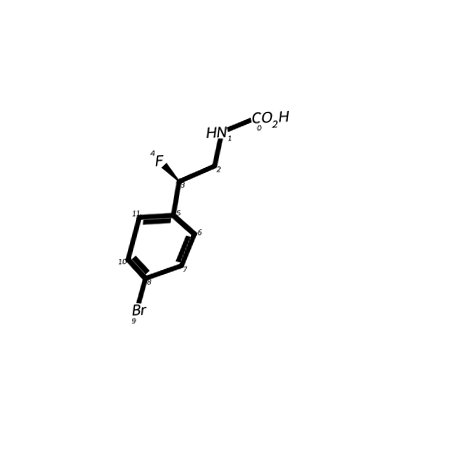 O=C(O)NC[C@H](F)c1ccc(Br)cc1